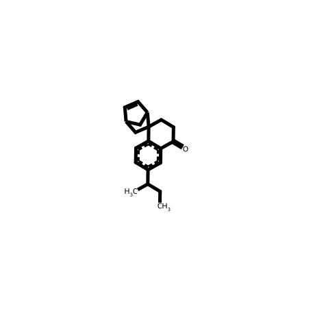 CCC(C)c1ccc2c(c1)C(=O)CCC21CC2C=CC1C2